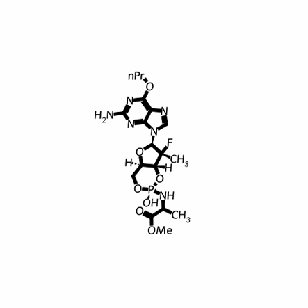 CCCOc1nc(N)nc2c1ncn2[C@@H]1O[C@@H]2CO[P@](O)(NC(C)C(=O)OC)O[C@H]2[C@@]1(C)F